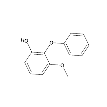 COc1cccc(O)c1Oc1ccccc1